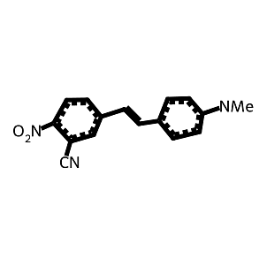 CNc1ccc(C=Cc2ccc([N+](=O)[O-])c(C#N)c2)cc1